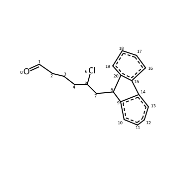 O=CCCCC(Cl)CC1c2ccccc2-c2ccccc21